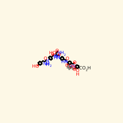 CC(C)Oc1c(NC(=O)c2ccc(NC(=O)c3ccc(NC(=O)C(NC(=O)c4ccc(NC(=O)C(N)Cc5ccc(O)cc5)cc4)C(O)C(N)=O)cc3)c(OC(C)C)c2O)ccc(C(=O)O)c1O